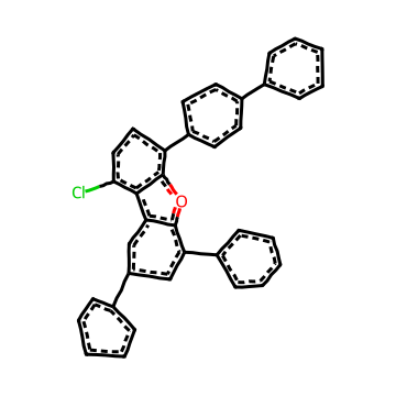 Clc1ccc(-c2ccc(-c3ccccc3)cc2)c2oc3c(-c4ccccc4)cc(-c4ccccc4)cc3c12